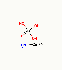 O=[As](O)(O)O.[NH2][Cu].[Zn]